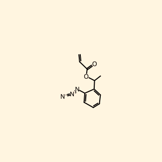 C=CC(=O)OC(C)c1ccccc1N=[N+]=[N-]